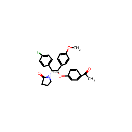 COc1ccc([C@H](Oc2ccc(C(C)=O)cc2)[C@@H](c2ccc(F)cc2)N2CCCC2=O)cc1